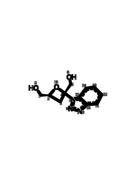 OC[C@@H]1C[C@@](CO)(n2nnc3ccccc32)O1